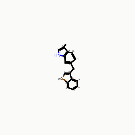 Cc1c[nH]c2cc(Cc3csc4ccccc34)ccc12